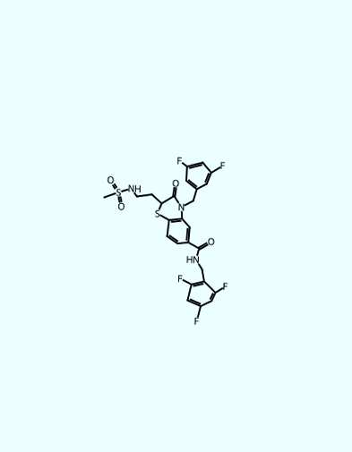 CS(=O)(=O)NCCC1Sc2ccc(C(=O)NCc3c(F)cc(F)cc3F)cc2N(Cc2cc(F)cc(F)c2)C1=O